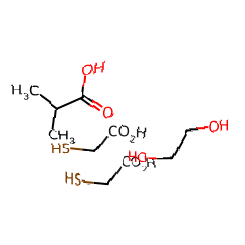 CC(C)C(=O)O.O=C(O)CS.O=C(O)CS.OCCO